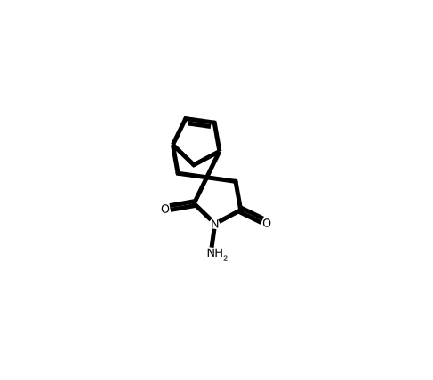 NN1C(=O)CC2(CC3C=CC2C3)C1=O